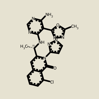 Cc1nnc(-c2c(N)ncnc2N[C@@H](C)c2cc3cccc(Cl)c3c(=O)n2-c2cc[nH]n2)o1